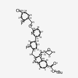 CC(C)(C)OC(=O)c1ccc2nc(Cc3ccc(-c4cccc(OCc5ccc(Cl)cc5F)n4)cc3F)n(C[C@@H]3CCO3)c2c1